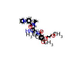 COCCCOc1cc(C(=O)N(C[C@@H]2CNC[C@H]2CN(C(=O)c2cccc(N3CCCC3)c2)C2CC2)C(C)C)ccc1OC